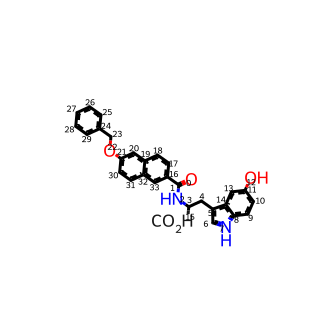 O=C(NC(Cc1c[nH]c2ccc(O)cc12)C(=O)O)c1ccc2cc(OCc3ccccc3)ccc2c1